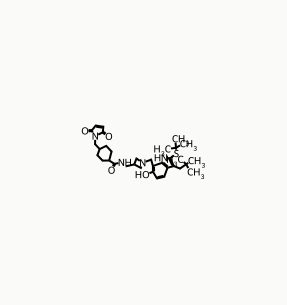 CC(C)(C)Cc1c(SC(C)(C)C)[nH]c2c(CN3CC(CNC(=O)C4CCC(CN5C(=O)C=CC5=O)CC4)C3)c(O)ccc12